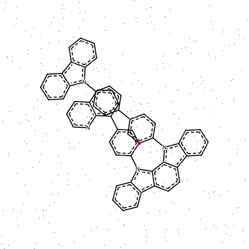 c1cnc2c(-c3ccc(-n4c5ccccc5c5ccc6c7ccccc7n(-c7ccc(-c8ccc(-n9c%10ccccc%10c%10ccccc%109)cc8)cc7)c6c54)cc3)cccc2c1